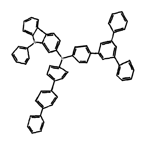 c1ccc(-c2ccc(-c3ccc(N(c4ccc(-c5cc(-c6ccccc6)cc(-c6ccccc6)c5)cc4)c4ccc5c6ccccc6n(-c6ccccc6)c5c4)cc3)cc2)cc1